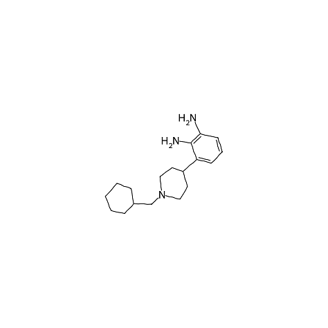 Nc1cccc(C2CCN(CC3CCCCC3)CC2)c1N